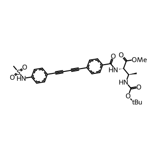 COC(=O)[C@@H](NC(=O)c1ccc(C#CC#Cc2ccc(NS(C)(=O)=O)cc2)cc1)[C@@H](C)NC(=O)OC(C)(C)C